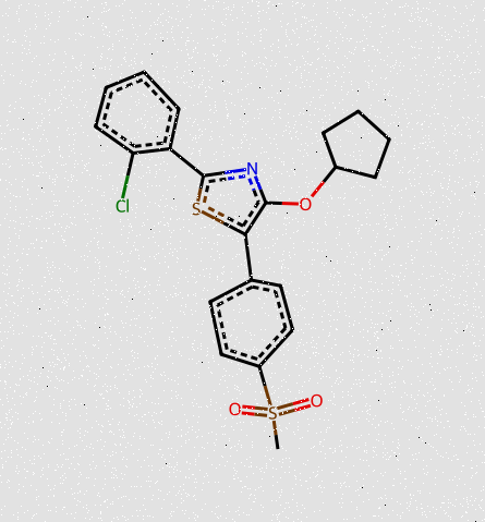 CS(=O)(=O)c1ccc(-c2sc(-c3ccccc3Cl)nc2OC2CCCC2)cc1